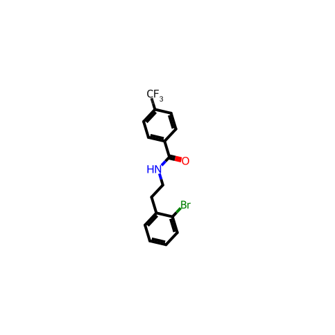 O=C(NCCc1ccccc1Br)c1ccc(C(F)(F)F)cc1